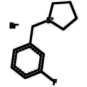 Fc1cccc(C[S+]2CCCC2)c1.[Br-]